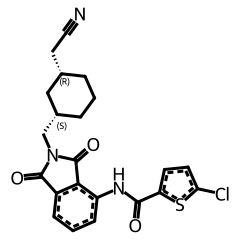 N#CC[C@@H]1CCC[C@H](CN2C(=O)c3cccc(NC(=O)c4ccc(Cl)s4)c3C2=O)C1